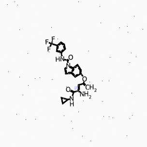 C=C(/C=C(\N)C(=O)NC1CC1)Oc1ccc2c(ccn2C(=O)Nc2cccc(C(F)(F)F)c2)c1